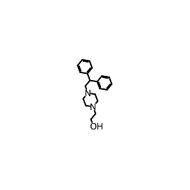 OCCN1CCN(CC(c2ccccc2)c2ccccc2)CC1